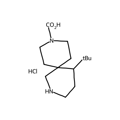 CC(C)(C)C1CCNCC12CCN(C(=O)O)CC2.Cl